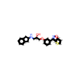 O[C@H](CNC1Cc2ccccc2C1)COc1cccc(-c2noc3ccsc23)c1